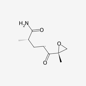 C[C@@H](C[CH]C(=O)[C@@]1(C)CO1)C(N)=O